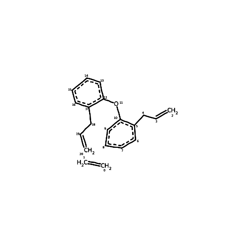 C=C.C=CCc1ccccc1Oc1ccccc1CC=C